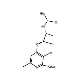 COc1nc(C)cc(O[C@@H]2CC[C@H]2N[S+]([O-])C(C)(C)C)c1Br